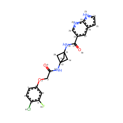 O=C(COc1ccc(Cl)c(F)c1)NC12CC(NC(=O)c3cnc4[nH]ccc4c3)(C1)C2